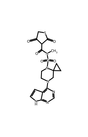 CN(C(=O)C1C(=O)CSC1=O)S(=O)(=O)N1CCN(c2ncnc3[nH]ccc23)CC12CC2